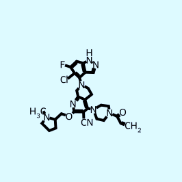 C=CC(=O)N1CCN(c2c(C#N)c(OCC3CCCN3C)nc3c2CCN(c2c(Cl)c(F)cc4[nH]ncc24)C3)CC1